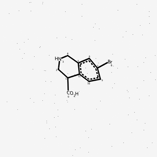 O=C(O)C1CNCc2cc(Br)ccc21